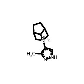 Cc1n[nH]cc1N1CC2CCC(C1)C2N